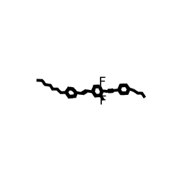 CCCCCCCc1ccc(C#Cc2cc(F)c(C#Cc3ccc(CCCC)cc3)c(F)c2)cc1